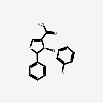 CCN1C(C(N)=O)=COC1c1ccccc1.Clc1ccccc1